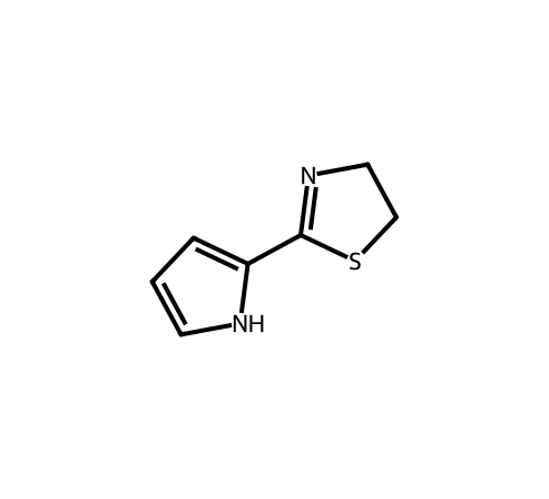 c1c[nH]c(C2=NCCS2)c1